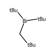 CC(C)(C)[CH2][Bi]([C](C)(C)C)[C](C)(C)C